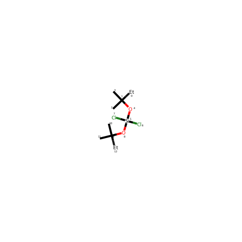 CCC(C)(C)O[Si](Cl)(Cl)OC(C)(C)CC